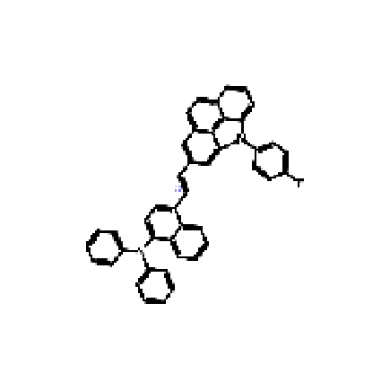 Fc1ccc(-n2c3cccc4ccc5cc(/C=C/c6ccc(N(c7ccccc7)c7ccccc7)c7ccccc67)cc2c5c43)cc1